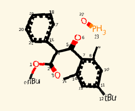 CCCCOC(=O)C(C(=O)c1c(C)cc(C(C)(C)C)cc1C)c1ccccc1.O=[PH3]